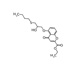 CCCCSCC(O)COc1cccc2oc(C(=O)OCC)cc(=O)c12